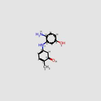 CC1=CC=C(Nc2cc(O)ccc2N)CC1=O